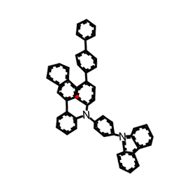 c1ccc(-c2ccc(-c3ccc(N(c4ccc(-n5c6ccccc6c6ccccc65)cc4)c4ccccc4-c4ccc5ccccc5c4)cc3)cc2)cc1